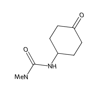 CNC(=O)NC1CCC(=O)CC1